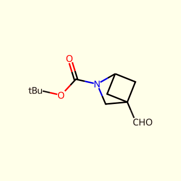 CC(C)(C)OC(=O)N1CC2(C=O)CC1C2